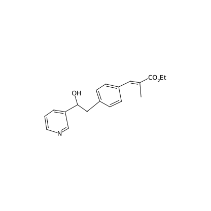 CCOC(=O)C(C)=Cc1ccc(CC(O)c2cccnc2)cc1